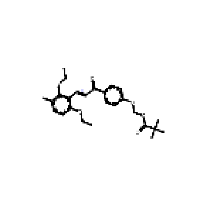 CCOc1ccc(C)c(OCC)c1/C=C/C(=O)c1ccc(OCOC(=O)C(C)(C)C)cc1